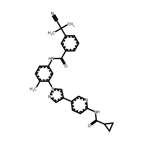 Cc1ccc(NC(=O)c2cccc(C(C)(C)C#N)c2)cc1-n1cc(-c2ccc(NC(=O)C3CC3)nc2)cn1